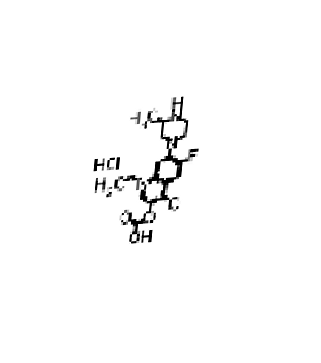 CCn1cc(OC(=O)O)c(=O)c2cc(F)c(N3CCNC(C)C3)cc21.Cl